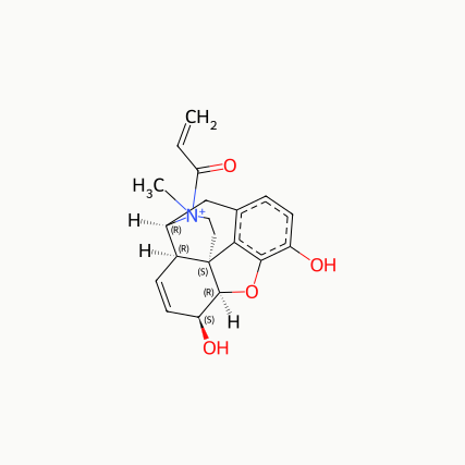 C=CC(=O)[N+]1(C)CC[C@]23c4c5ccc(O)c4O[C@H]2[C@@H](O)C=C[C@H]3[C@H]1C5